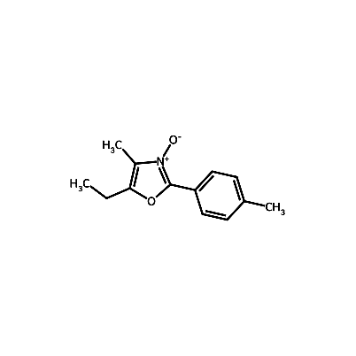 CCc1oc(-c2ccc(C)cc2)[n+]([O-])c1C